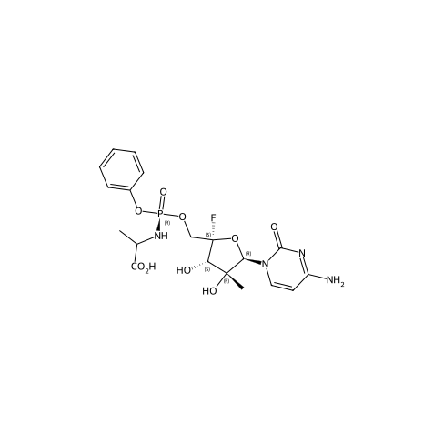 CC(N[P@@](=O)(OC[C@@]1(F)O[C@@H](n2ccc(N)nc2=O)[C@](C)(O)[C@@H]1O)Oc1ccccc1)C(=O)O